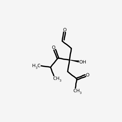 CC(=O)C[C@@](O)(CC=O)C(=O)C(C)C